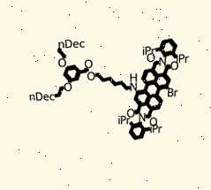 CCCCCCCCCCCCOc1cc(OCCCCCCCCCCCC)cc(C(=O)OCCCCCCNc2cc3c4c(ccc5c6c(Br)cc7c8c(ccc(c2c45)c86)C(=O)N(c2c(C(C)C)cccc2C(C)C)C7=O)C(=O)N(c2c(C(C)C)cccc2C(C)C)C3=O)c1